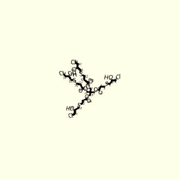 O=C(CCSCC(O)CCl)OCC(COC(=O)CCSCC(O)CCl)(COC(=O)CCSCC(O)CCl)COC(=O)CCSCC(O)CCl